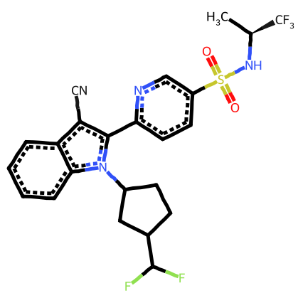 C[C@H](NS(=O)(=O)c1ccc(-c2c(C#N)c3ccccc3n2C2CCC(C(F)F)C2)nc1)C(F)(F)F